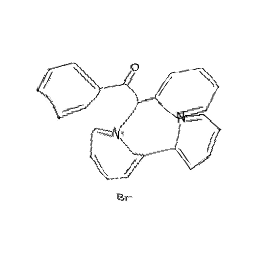 O=C(c1ccccc1)C(c1ccccc1)[n+]1ccccc1-c1ccccn1.[Br-]